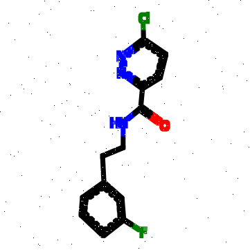 O=C(NCCc1cccc(F)c1)c1ccc(Cl)nn1